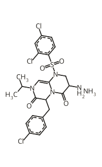 CC(C)N1C=C2N(C(=O)C(N)CN2S(=O)(=O)c2ccc(Cl)cc2Cl)C(Cc2ccc(Cl)cc2)C1=O.N